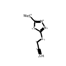 C#CCSc1nnc(S[CH2])s1